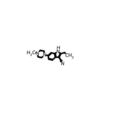 CCc1[nH]c2cc(N3CCN(C)CC3)ccc2c1C#N